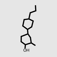 CCCC1CCC(C2CCC(O)C(C)C2)CC1